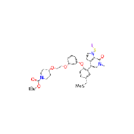 CSCc1ccc(Oc2cccc(OCCOC3CCN(C(=O)OC(C)(C)C)CC3)c2)c(-c2cn(C)c(=O)c3c2ccn3SI)c1